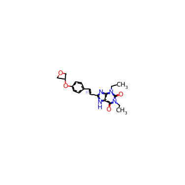 CCn1c(=O)c2[nH]c(/C=C/c3ccc(OC4COC4)cc3)nc2n(CC)c1=O